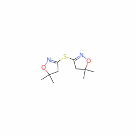 CC1(C)CC(SC2=NOC(C)(C)C2)=NO1